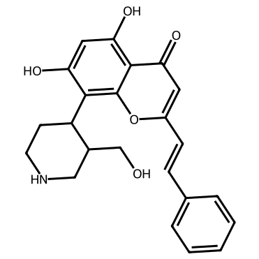 O=c1cc(C=Cc2ccccc2)oc2c(C3CCNCC3CO)c(O)cc(O)c12